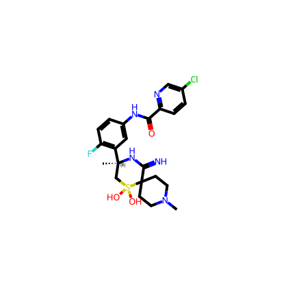 CN1CCC2(CC1)C(=N)N[C@](C)(c1cc(NC(=O)c3ccc(Cl)cn3)ccc1F)CS2(O)O